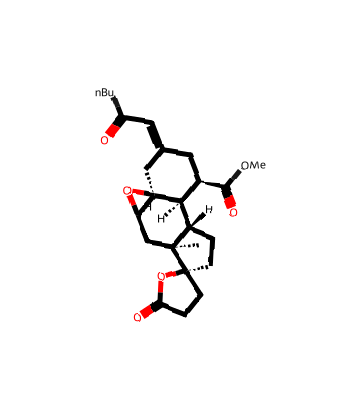 CCCCC(=O)/C=C1/C[C@@H](C(=O)OC)[C@H]2[C@@H]3CC[C@@]4(CCC(=O)O4)[C@@]3(C)C[C@H]3O[C@@]23C1